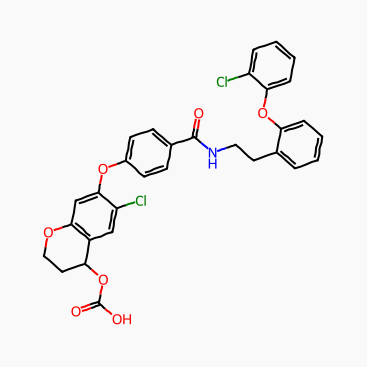 O=C(O)OC1CCOc2cc(Oc3ccc(C(=O)NCCc4ccccc4Oc4ccccc4Cl)cc3)c(Cl)cc21